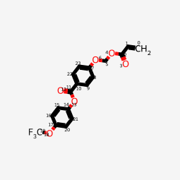 C=CC(=O)OCOc1ccc(C(=O)Oc2ccc(OC(F)(F)F)cc2)cc1